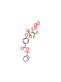 COOOSC(=C(F)F)S(=O)(=O)Oc1ccc(C(=O)OC(C)(C)C2CC3CCC2C3)cc1